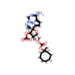 CC1(OC(=O)OC[C@H]2O[C@@](C#N)(c3ccc4c(N)ncnn34)[C@@H]3OC(=O)O[C@@H]32)CCCCCCC1